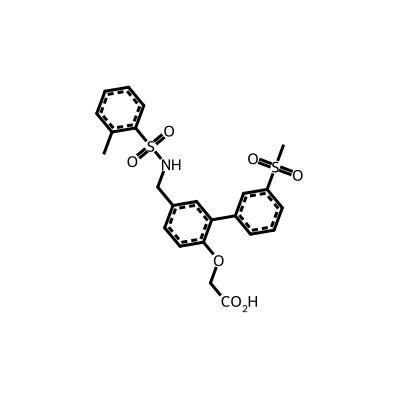 Cc1ccccc1S(=O)(=O)NCc1ccc(OCC(=O)O)c(-c2cccc(S(C)(=O)=O)c2)c1